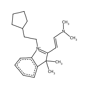 CN(C)/C=C/C1=[N+](CCC2CCCC2)c2ccccc2C1(C)C